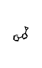 [c]1cccnc1-c1cccc(C2CC2)c1